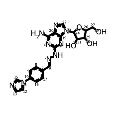 Nc1nc(N/N=C/c2ccc(-n3ccnc3)cc2)nc2c1ncn2C1OC(CO)C(O)C1O